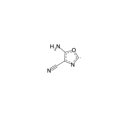 N#Cc1n[c]oc1N